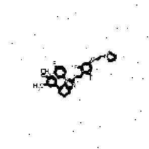 COc1ccc(C2CCCc3nc(SCc4c(F)cc(OCCN5CCCC5)cc4F)n(-c4ccc(F)cc4)c32)cc1C